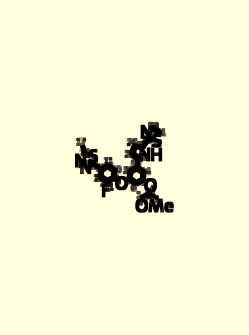 COC[C@H](C)Oc1cc(Oc2ccc(-c3nnc(C)s3)cc2F)cc(-c2ccc(-c3nccs3)[nH]2)c1